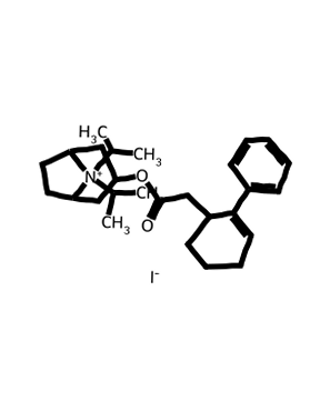 CC(C)[N+]1(C(C)C)C2CCC1CC(OC(=O)CC1CCCC=C1c1ccccc1)C2.[I-]